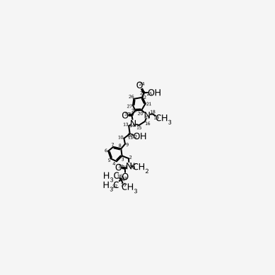 C=[N+](Cc1ccccc1CC[C@H](O)CN1CCN(CC)c2cc(C(=O)O)ccc2C1=O)C(=O)OC(C)(C)C